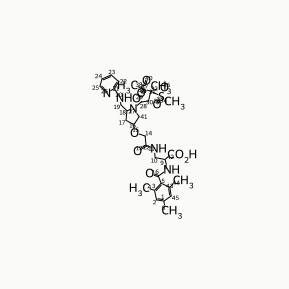 Cc1cc(C)c(C(=O)NC(CNC(=O)COC2CC(CNc3ccccn3)N(C(=O)CC(C)(S(C)(=O)=O)S(C)(=O)=O)C2)C(=O)O)c(C)c1